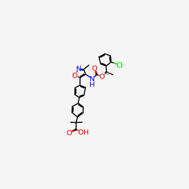 Cc1noc(-c2ccc(-c3ccc(C(C)(C)C(=O)O)cc3)cc2)c1NC(=O)O[C@H](C)c1ccccc1Cl